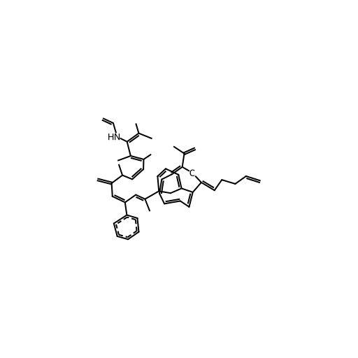 C=CCC/C=C1C/C(C(=C)C)=C/C=C\C=C\C=C\1C1=CC=CC(/C(C)=C/C(=C\C(=C)C(C)/C=C\C(C)=C(/C)C(NC=C)=C(C)C)c2ccccc2)C1